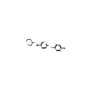 O=C(NC1CCOCC1)c1ccc(SNc2cc(F)c(C(=O)O)cc2F)nc1